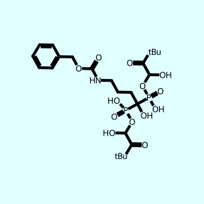 CC(C)(C)C(=O)C(O)OP(=O)(O)C(O)(CCCNC(=O)OCc1ccccc1)P(=O)(O)OC(O)C(=O)C(C)(C)C